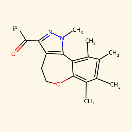 Cc1c(C)c(C)c2c(c1C)OCCc1c(C(=O)C(C)C)nn(C)c1-2